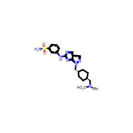 CC(C)(C)N(C[C@H]1CC[C@H](Cn2ncc3cnc(Nc4cccc(S(N)(=O)=O)c4)nc32)CC1)C(=O)O